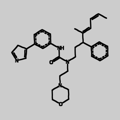 C/C=C\C=C(/C)C(CCN(CCN1CCOCC1)C(=O)Nc1cccc(C2=CN=CC2)c1)c1ccccc1